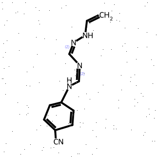 C=CN/N=C\N=C/Nc1ccc(C#N)cc1